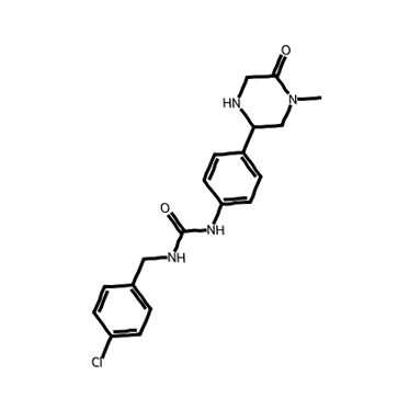 CN1CC(c2ccc(NC(=O)NCc3ccc(Cl)cc3)cc2)NCC1=O